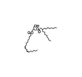 CCCCC/C=C\C/C=C\CCCCCCCC(=O)OCC(CO)COC(=O)CC(CCCCCCCC)CCCCCCCC